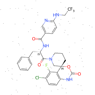 O=C1Nc2ccc(Cl)c(F)c2[C@@]2(CCCN(C(=O)[C@H](Cc3ccccc3)NC(=O)c3ccc(NCC(F)(F)F)nc3)C2)O1